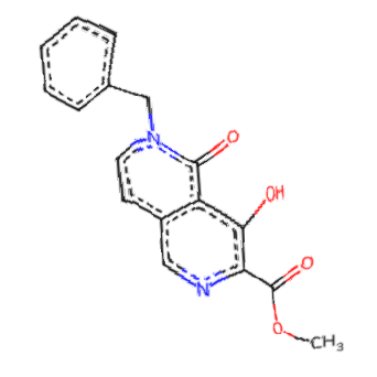 COC(=O)c1ncc2ccn(Cc3ccccc3)c(=O)c2c1O